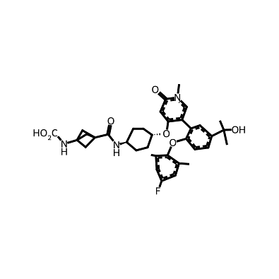 Cc1cc(F)cc(C)c1Oc1ccc(C(C)(C)O)cc1-c1cn(C)c(=O)cc1O[C@H]1CC[C@H](NC(=O)C23CC(NC(=O)O)(C2)C3)CC1